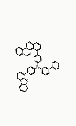 C1=CCC2Sc3c(cccc3-c3ccc(N(c4ccc(-c5cccc6ccc7c8ccccc8ccc7c56)cc4)c4cccc(-c5ccccc5)c4)cc3)C2=C1